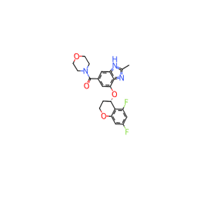 Cc1nc2c(O[C@H]3CCOc4cc(F)cc(F)c43)cc(C(=O)N3CCOCC3)cc2[nH]1